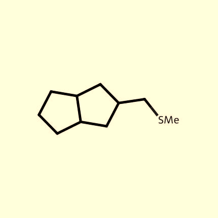 CSCC1CC2CCCC2C1